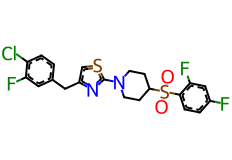 O=S(=O)(c1ccc(F)cc1F)C1CCN(c2nc(Cc3ccc(Cl)c(F)c3)cs2)CC1